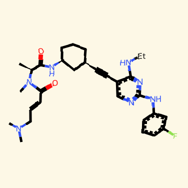 CCNc1nc(Nc2cccc(F)c2)ncc1C#C[C@@H]1CCC[C@H](NC(=O)[C@H](C)N(C)C(=O)/C=C/CN(C)C)C1